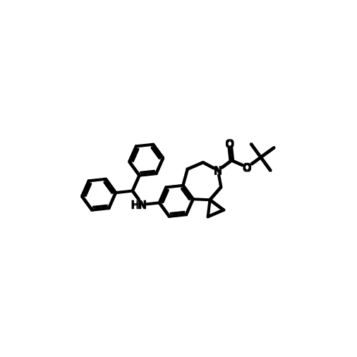 CC(C)(C)OC(=O)N1CCc2cc(NC(c3ccccc3)c3ccccc3)ccc2C2(CC2)C1